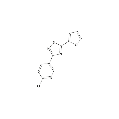 Clc1ccc(-c2nsc(-c3ccco3)n2)cn1